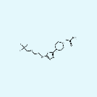 NC(=O)O[C@@H]1CC[C@@H](c2nnc(OCCOCC(F)(F)F)o2)OC1